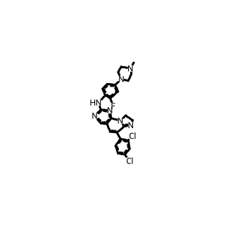 CN1CCN(c2ccc(Nc3ncc4c(n3)N3CCN=C3C(c3ccc(Cl)cc3Cl)=C4)c(F)c2)CC1